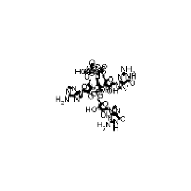 CO[C@@H]1[C@H](OP(=O)(O)OC[C@H]2O[C@@H](n3cnc4c(=O)[nH]c(N)nc43)[C@H](O)[C@@H]2O)[C@@H](COP(=O)(O)OP(=O)(O)OP(=O)(O)OC[C@H]2OC(n3c[n+](C)c4c(=O)[nH]c(N)nc43)[C@H](O)[C@@H]2CCC#N)O[C@H]1n1cnc2c(N)ncnc21